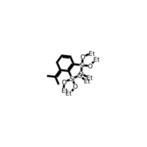 CCO[Si](OCC)(OCC)C1=C([Si](OCC)(OCC)OCC)C(=C(C)C)CC=C1